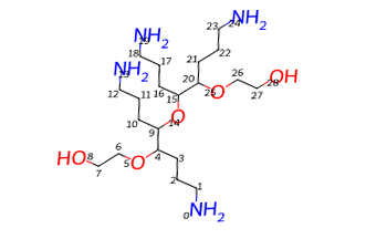 NCCCC(OCCO)C(CCCN)OC(CCCN)C(CCCN)OCCO